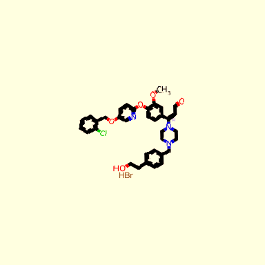 Br.COc1cc(/C(=C\C=O)N2CCN(Cc3ccc(CCO)cc3)CC2)ccc1Oc1ccc(OCc2ccccc2Cl)cn1